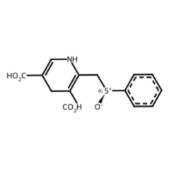 O=C(O)C1=CNC(C[S@+]([O-])c2ccccc2)=C(C(=O)O)C1